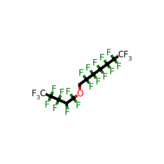 FC(C(F)(F)OCC(F)(F)C(F)(F)C(F)(F)C(F)(F)C(F)(F)C(F)(F)F)C(F)(F)C(F)(F)C(F)(F)F